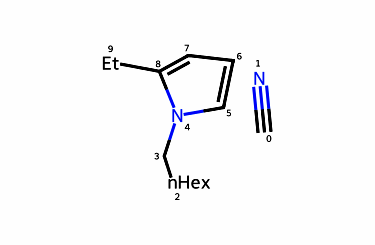 C#N.CCCCCCCn1cccc1CC